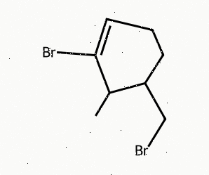 CC1C(Br)=CCCC1CBr